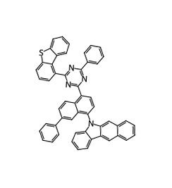 c1ccc(-c2ccc3c(-c4nc(-c5ccccc5)nc(-c5cccc6sc7ccccc7c56)n4)ccc(-n4c5ccccc5c5cc6ccccc6cc54)c3c2)cc1